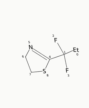 CCC(F)(F)C1=NCCS1